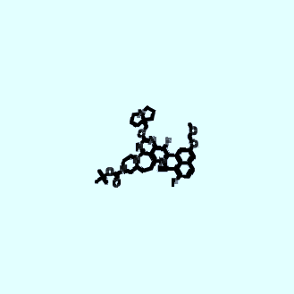 C#Cc1c(F)ccc2cc(OCOC)cc(-c3nc4c5c(nc(OCC67CCCN6CCC7)nc5c3F)N3CCN(C(=O)OC(C)(C)C)CC3CC4)c12